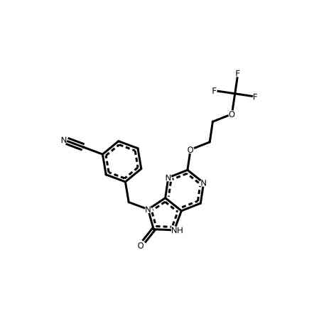 N#Cc1cccc(Cn2c(=O)[nH]c3cnc(OCCOC(F)(F)F)nc32)c1